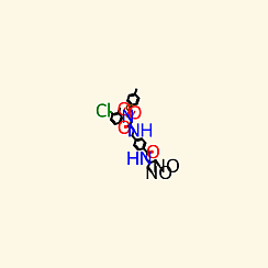 Cc1ccc(S(=O)(=O)N(CC(=O)NCc2ccc(C(=O)NC(CN=O)CN=O)cc2)c2cccc(Cl)c2C)cc1